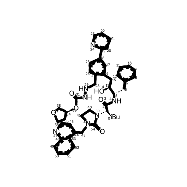 CC[C@H](C)[C@@H](C(=O)N[C@@H](Cc1ccccc1)[C@@H](O)Cc1cc(-c2ccccn2)ccc1CNNC(=O)O[C@H]1CCOC1)N1CCN(Cc2ccnc3ccccc23)C1=O